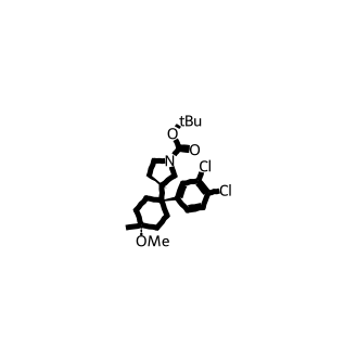 CO[C@]1(C)CC[C@](c2ccc(Cl)c(Cl)c2)([C@H]2CCN(C(=O)OC(C)(C)C)C2)CC1